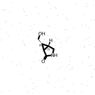 O=C1NC[C@@H]2C1[C@@H]2CO